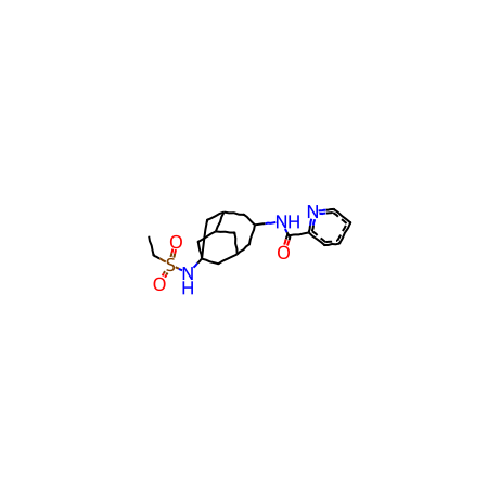 CCS(=O)(=O)NC12CC3CC(NC(=O)c4ccccn4)CC(C1)C(C3)C2